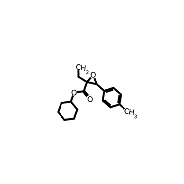 CCC1(C(=O)OC2CCCCC2)OC1c1ccc(C)cc1